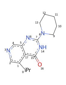 CC(C)c1cncc2nc(N3CCCCC3)[nH]c(=O)c12